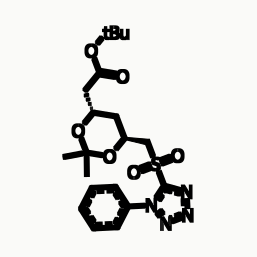 CC(C)(C)OC(=O)C[C@@H]1C[C@@H](CS(=O)(=O)c2nnnn2-c2ccccc2)OC(C)(C)O1